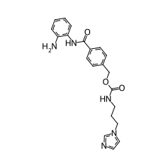 Nc1ccccc1NC(=O)c1ccc(COC(=O)NCCCn2ccnc2)cc1